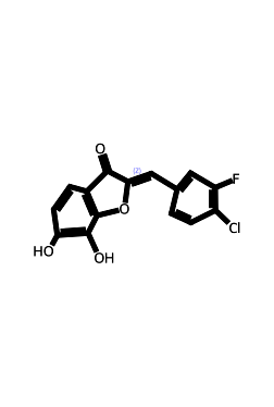 O=C1/C(=C/c2ccc(Cl)c(F)c2)Oc2c1ccc(O)c2O